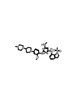 CNc1cc(Nc2cccc3c2N(S(C)(=O)=O)CC3)nc(Nc2ccc(N3CCC(N4CCN(C)CC4)CC3)cc2OC)n1